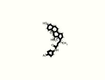 CC(=O)c1ccc(NC(=O)CC[C@@H](C)C2CCC3C4CCC5C[C@H](O)CC[C@]5(C)C4C[C@H](O)[C@@]32C)cc1